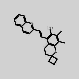 Cc1c(C)c2c(c(C=Cc3ccc4ccccc4n3)c1O)CCC1(CCC1)O2